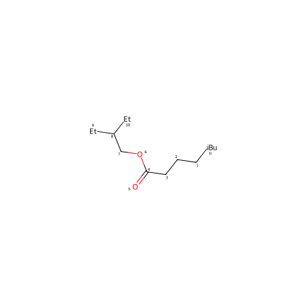 CCC(C)CCCC(=O)OCC(CC)CC